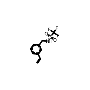 C=Cc1cccc(CNS(=O)(=O)C(F)(F)F)c1